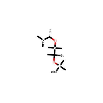 CCCC[Si](C)(C)OC(C)(CC)[Si](C)(C)O[C@@H](C)[SiH](C)C